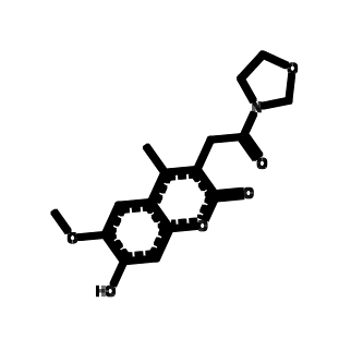 COc1cc2c(C)c(CC(=O)N3CCOC3)c(=O)oc2cc1O